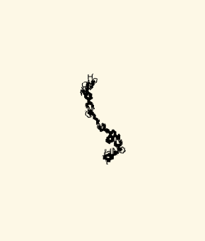 CC(c1ccc(C#CC2CCN(CCCCC(=O)N3CCC(c4ccc5c(N6CCC(=O)NC6=O)nn(C)c5c4)CC3)CC2)c2ccccc12)N1CCC(C(=O)NCc2cccc(F)c2)CC1